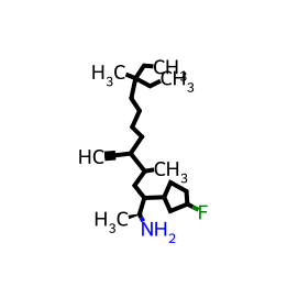 C#CC(CCCCC(C)(CC)CC)C(C)CC(C1CCC(F)C1)[C@H](C)N